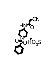 CS(=O)(=O)O.N#CCC(=O)NC1CCN(S(=O)(=O)c2ccccc2)CC1